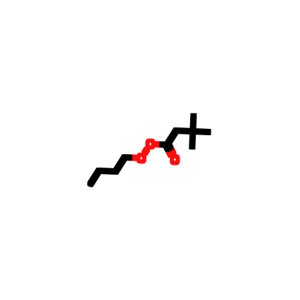 CCCCOOC(=O)CC(C)(C)C